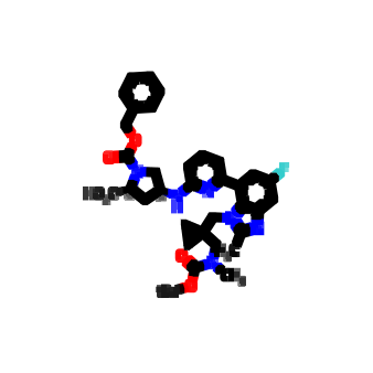 Cc1nc2cc(F)cc(-c3cccc(N[C@H]4C[C@@H](C(=O)O)N(C(=O)OCc5ccccc5)C4)n3)c2n1CC1(CN(C)C(=O)OC(C)(C)C)CC1